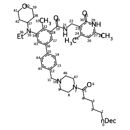 CCCCCCCCCCCCCCC(=O)N1CCN(Cc2ccc(-c3cc(C(=O)NCc4c(C)cc(C)[nH]c4=O)c(C)c(N(CC)C4CCOCC4)c3)cc2)CC1